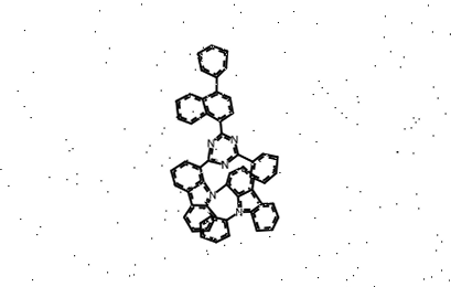 c1ccc(-c2nc(-c3ccc(-c4ccccc4)c4ccccc34)nc(-c3cccc4c5ccccc5n(-c5cccc6c7ccccc7n(-c7ccccc7)c56)c34)n2)cc1